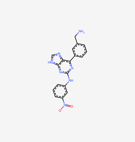 NCc1cccc(-c2nc(Nc3cccc([N+](=O)[O-])c3)nc3[nH]cnc23)c1